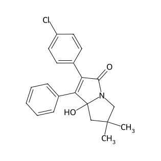 CC1(C)CN2C(=O)C(c3ccc(Cl)cc3)=C(c3ccccc3)C2(O)C1